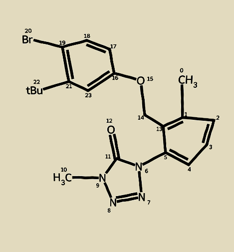 Cc1cccc(-n2nnn(C)c2=O)c1COc1ccc(Br)c(C(C)(C)C)c1